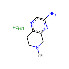 CCCN1CCc2ncc(N)nc2C1.Cl.Cl